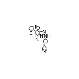 CN1CCN(c2ccc(Nc3ncc4c(=O)c(-c5c(F)cccc5Cl)cn(C5CC5)c4n3)cc2)CC1